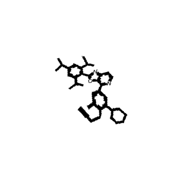 C#C/C=C\c1c(C)cc(-c2nccc3nc(-c4c(C(C)C)cc(C(C)C)cc4C(C)C)oc23)cc1C1CCCCC1